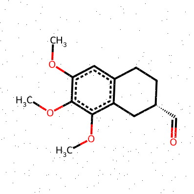 COc1cc2c(c(OC)c1OC)C[C@@H](C=O)CC2